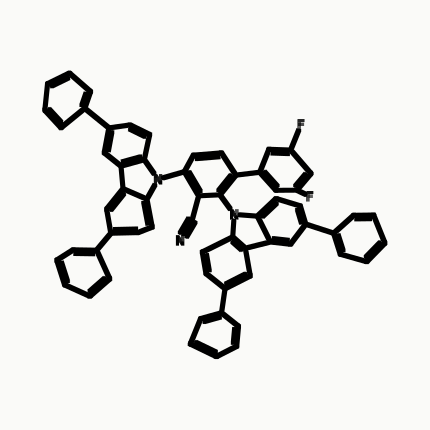 N#Cc1c(-n2c3ccc(-c4ccccc4)cc3c3cc(-c4ccccc4)ccc32)ccc(-c2cc(F)cc(F)c2)c1-n1c2ccc(-c3ccccc3)cc2c2cc(-c3ccccc3)ccc21